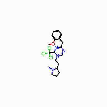 COc1ccccc1CC1=NC(C(Cl)(Cl)Cl)N(CCC2CCCN2C)C=N1